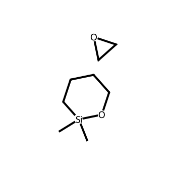 C1CO1.C[Si]1(C)CCCCO1